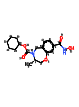 C[C@H]1COc2cc(C(=O)NO)ccc2CN1C(=O)OC1CCCCC1